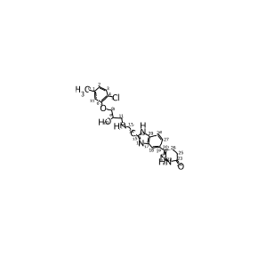 Cc1ccc(Cl)c(OCC(O)CNCCc2nc3cc(C4=NNC(=O)CC4)ccc3[nH]2)c1